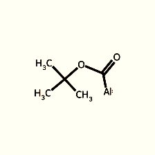 CC(C)(C)O[C](=O)[Al]